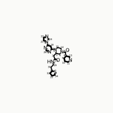 O=C(CC1CN(C(=O)c2cccnc2)CCN1c1cc(-n2ccnc2)ncn1)NCCc1cccs1